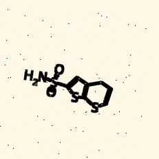 NS(=O)(=O)c1cc2c(s1)SC=CC2